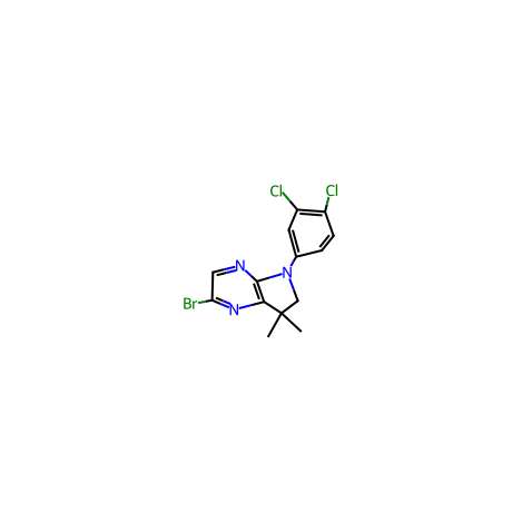 CC1(C)CN(c2ccc(Cl)c(Cl)c2)c2ncc(Br)nc21